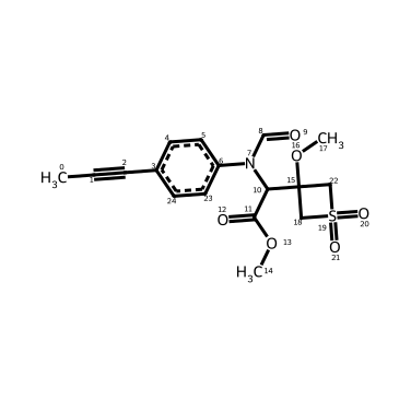 CC#Cc1ccc(N(C=O)C(C(=O)OC)C2(OC)CS(=O)(=O)C2)cc1